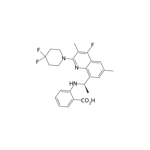 Cc1cc([C@@H](C)Nc2ccccc2C(=O)O)c2nc(N3CCC(F)(F)CC3)c(C)c(F)c2c1